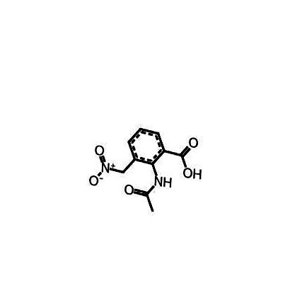 CC(=O)Nc1c(C[N+](=O)[O-])cccc1C(=O)O